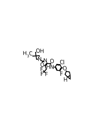 CCC1(CO)CN(c2nc(C(=O)Nc3cc(F)c(OC4CC5C[C@@H]5C4)c(Cl)c3)c(CC(F)(F)F)o2)C1